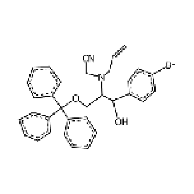 C=CCN(CC#N)C(COC(c1ccccc1)(c1ccccc1)c1ccccc1)C(O)c1ccc(Br)cc1